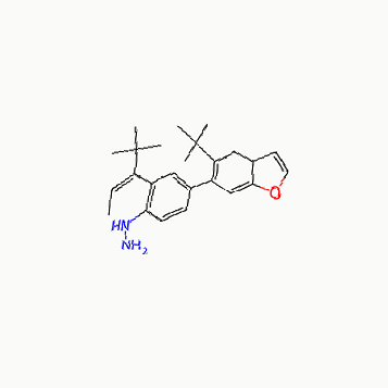 C/C=C(\c1cc(C2=C(C(C)(C)C)CC3C=COC3=C2)ccc1NN)C(C)(C)C